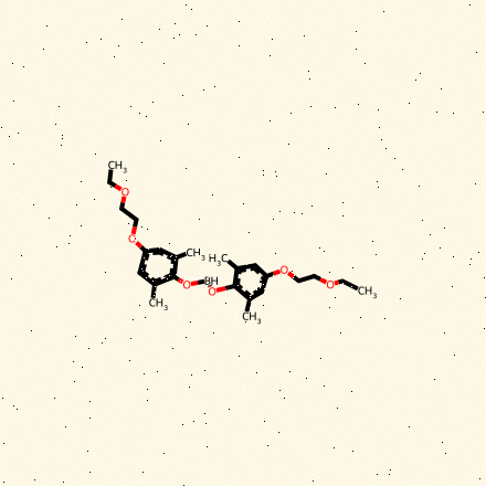 CCOCCOc1cc(C)c(OBOc2c(C)cc(OCCOCC)cc2C)c(C)c1